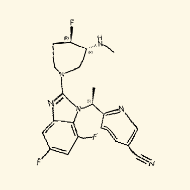 CN[C@@H]1CN(c2nc3cc(F)cc(F)c3n2[C@@H](C)c2ccc(C#N)cn2)CC[C@H]1F